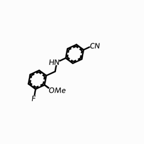 COc1c(F)cccc1CNc1ccc(C#N)cc1